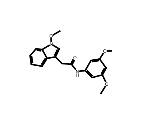 COc1cc(NC(=O)Cc2cn(OC)c3ccccc23)cc(OC)c1